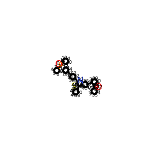 O=P(c1ccccc1)(c1ccccc1)c1ccc(-c2ccc(-c3nc4cc(-c5cccc6oc7ccccc7c56)ccc4c4c3sc3ccccc34)cc2)cc1